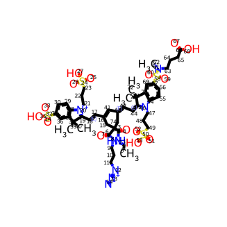 CCNC(=O)C1(C(=O)NCCCN=[N+]=[N-])CC(/C=C/C2=[N+](CCCS(=O)(=O)O)c3ccc(S(=O)(=O)O)cc3C2(C)C)=CC(=C/C=C2/N(CCCS(=O)(=O)O)c3ccc(S(=O)(=O)N(C)CCCC(=O)O)cc3C2(C)C)/C1